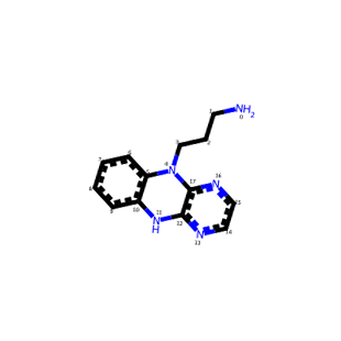 NCCCN1c2ccccc2Nc2nccnc21